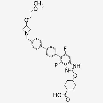 COCCOC1CN(Cc2ccc(-c3ccc(-c4c(F)cc5[nH]c(O[C@H]6CC[C@H](C(=O)O)CC6)nc5c4F)cc3)cc2)C1